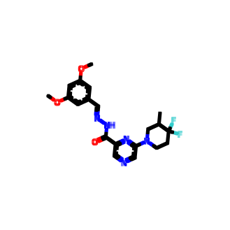 COc1cc(/C=N/NC(=O)c2cncc(N3CCC(F)(F)C(C)C3)n2)cc(OC)c1